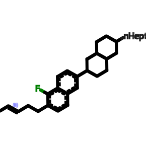 C/C=C/CCc1ccc2cc(C3CCC4CC(CCCCCCC)CCC4C3)ccc2c1F